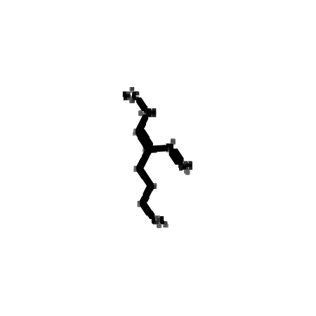 CCCC/C(=C/NC)N=N